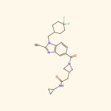 CC(C)(C)c1nc2cc(C(=O)N3CC(CC(=O)NC4CC4)C3)ccc2n1CC1CCC(F)(F)CC1